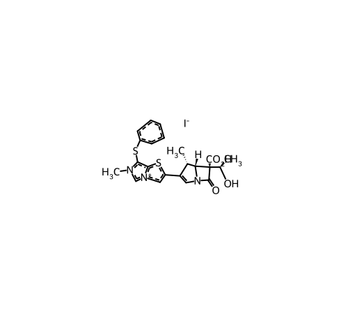 C[C@H]1C(c2c[n+]3cn(C)c(Sc4ccccc4)c3s2)=CN2C(=O)[C@@](C(=O)O)([C@@H](C)O)[C@@H]12.[I-]